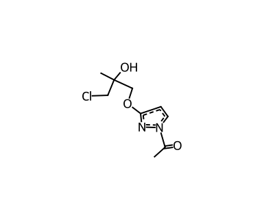 CC(=O)n1ccc(OCC(C)(O)CCl)n1